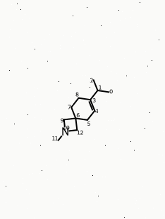 CC(C)C1=CCC2(CC1)CN(C)C2